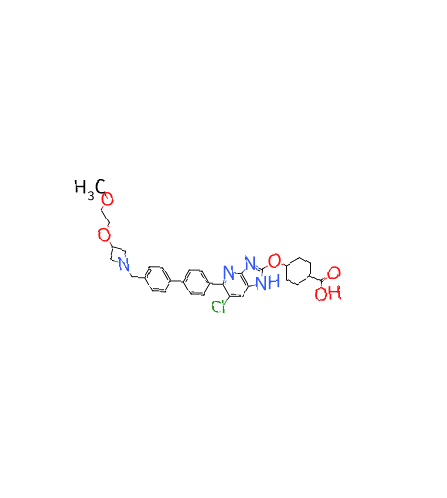 COCCOC1CN(Cc2ccc(-c3ccc(-c4nc5nc(OC6CCC(C(=O)O)CC6)[nH]c5cc4Cl)cc3)cc2)C1